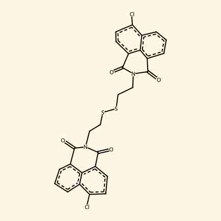 O=C1c2cccc3c(Cl)ccc(c23)C(=O)N1CCSSCCN1C(=O)c2cccc3c(Cl)ccc(c23)C1=O